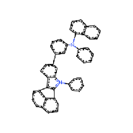 c1ccc(N(c2cccc(-c3ccc4c5c(n(-c6ccccc6)c4c3)-c3cccc4cccc-5c34)c2)c2cccc3ccccc23)cc1